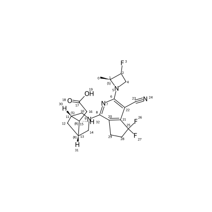 C[C@H]1C(F)CN1c1nc(N2C[C@H]3C[C@@H](C2)[C@@H]3CC(=O)O)c2c(c1C#N)C(F)(F)CC2